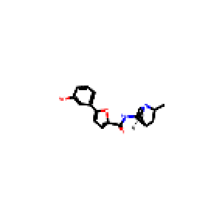 CC1CC2CCN1C[C@@H]2NC(=O)c1ccc(-c2cccc(O)c2)o1